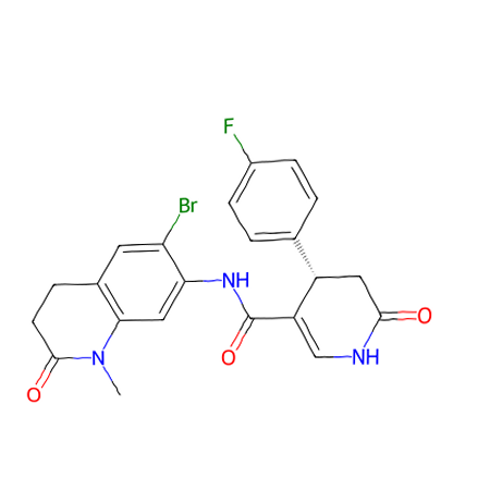 CN1C(=O)CCc2cc(Br)c(NC(=O)C3=CNC(=O)C[C@H]3c3ccc(F)cc3)cc21